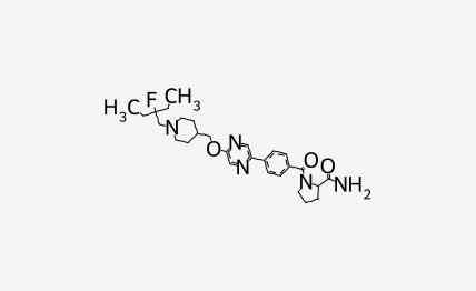 CCC(F)(CC)CN1CCC(COc2cnc(-c3ccc(C(=O)N4CCCC4C(N)=O)cc3)cn2)CC1